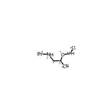 CC(C)NCC(C#N)OPCl